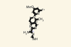 COc1cc(F)nc(N2CCc3nc(/C(N)=N/C=N)ncc3C2C)c1